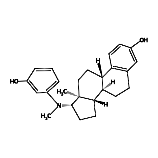 CN(c1cccc(O)c1)[C@H]1CC[C@H]2[C@@H]3CCc4cc(O)ccc4[C@H]3CC[C@]12C